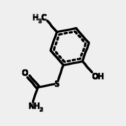 Cc1ccc(O)c(SC(N)=O)c1